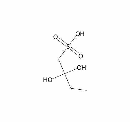 CCC(O)(O)CS(=O)(=O)O